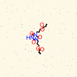 C=CC(=O)OCCCn1c(=O)[nH]c(=O)n(CCCOC(=O)C=C)c1=O